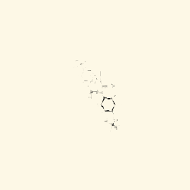 CC(C)(C)C1CCC2(CC1)CC(=O)N(c1ccc(OC(F)(F)F)cc1)C(=O)N2